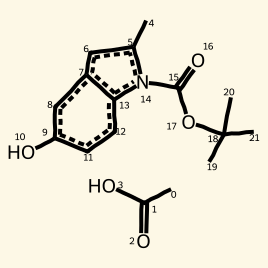 CC(=O)O.Cc1cc2cc(O)ccc2n1C(=O)OC(C)(C)C